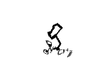 C=C(Cc1ccccc1)[N+](=O)[O-]